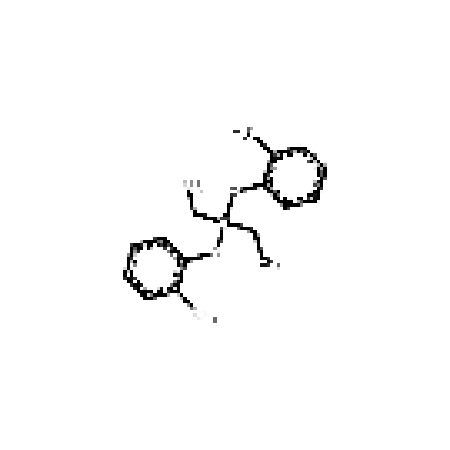 C[CH2][Ti]([CH2]C)([O]c1ccccc1C)[O]c1ccccc1C